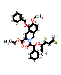 C#C/C(OC(C(=O)N1Cc2ccc(OC)c(OCc3ccccc3)c2CC1C(=O)OCC)c1ccccc1)=C(F)\C=C(/C)F